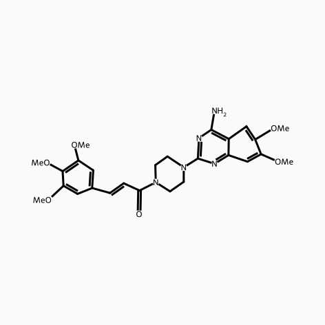 COc1cc2nc(N3CCN(C(=O)C=Cc4cc(OC)c(OC)c(OC)c4)CC3)nc(N)c2cc1OC